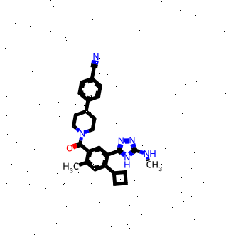 CNc1nnc(-c2cc(C(=O)N3CCC(c4ccc(C#N)cc4)CC3)c(C)cc2C2CCC2)[nH]1